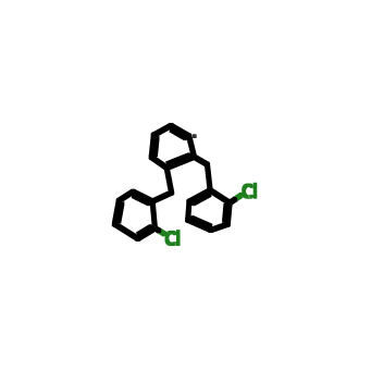 Clc1ccccc1Cc1[c]cccc1Cc1ccccc1Cl